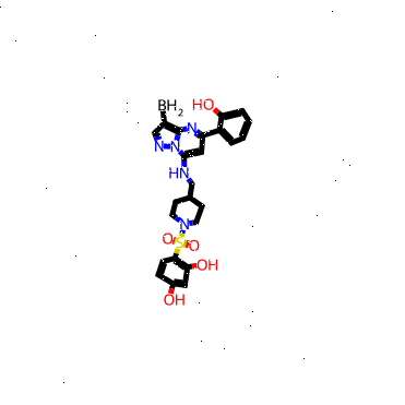 Bc1cnn2c(NCC3CCN(S(=O)(=O)c4ccc(O)cc4O)CC3)cc(-c3ccccc3O)nc12